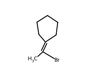 CC(Br)=C1CCCCC1